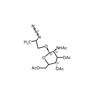 CC(=O)N[C@H]1C(OC(C)=O)[C@H](OC(C)=O)C(COC(C)=O)O[C@H]1OCC(C)N=[N+]=[N-]